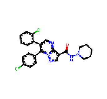 O=C(NN1CCCCC1)c1cnn2c(-c3ccc(Cl)cc3)c(-c3ccccc3Cl)cnc12